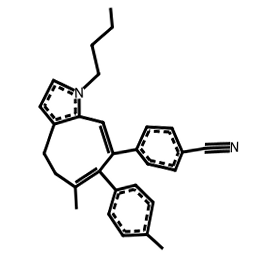 CCCCn1ccc2c1/C=C(c1ccc(C#N)cc1)\C(c1ccc(C)cc1)=C(\C)CC2